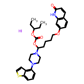 CCC(CC)OC(=O)OC(CCCCOc1ccc2ccc(=O)[nH]c2c1)N1CCN(c2cccc3sccc23)CC1.I